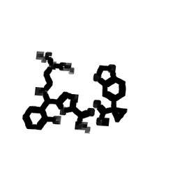 CN(C)CCNC(c1cnc(C(N)=O)s1)c1ccccc1Cl.O=C(O)C1(c2ccc3c(c2)OCO3)CC1